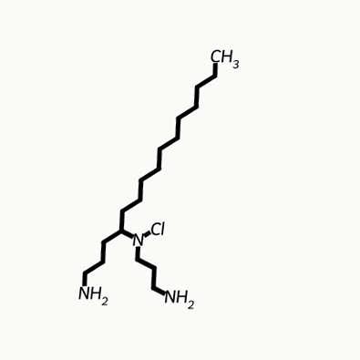 CCCCCCCCCCCC(CCCN)N(Cl)CCCN